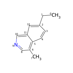 CCc1ccc2c(C)cncc2c1